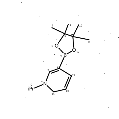 CC(C)N1C=C(B2OC(C)(C)C(C)(C)O2)C=CC1